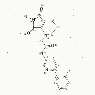 Cc1ccncc1-c1ccc(NC(=O)CN2CCCC3=C2C(=O)N(C)C3=O)nn1